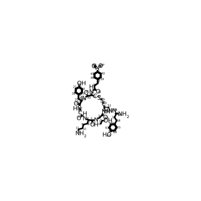 CC(O)[C@@H]1NC(=O)C(CCCCN)NC(=O)CNC(=O)C(Cc2ccc(O)cc2)NC(=O)C(NC(=O)CCc2ccc([N+](=O)[O-])cc2)CSSC[C@@H](CN/N=C(/N)CCc2ccc(O)cc2)NC1=O